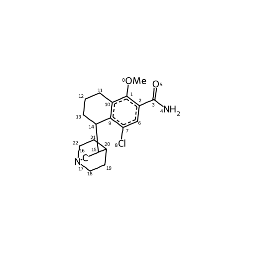 COc1c(C(N)=O)cc(Cl)c2c1CCCC2C1CN2CCC1CC2